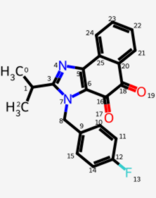 CC(C)c1nc2c(n1Cc1ccc(F)cc1)C(=O)C(=O)c1ccccc1-2